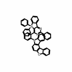 c1ccc(-c2nc(-c3ccccc3-n3c4ccccc4c4c5c(ccc43)oc3ccccc35)c3c(n2)-c2ccccc2[Si]3(c2ccccc2)c2ccccc2)cc1